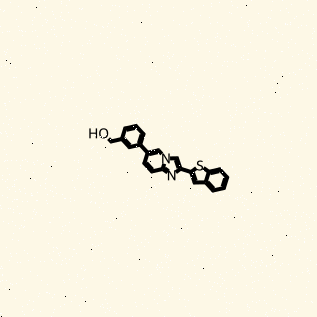 OCc1cccc(-c2ccc3nc(-c4cc5ccccc5s4)cn3c2)c1